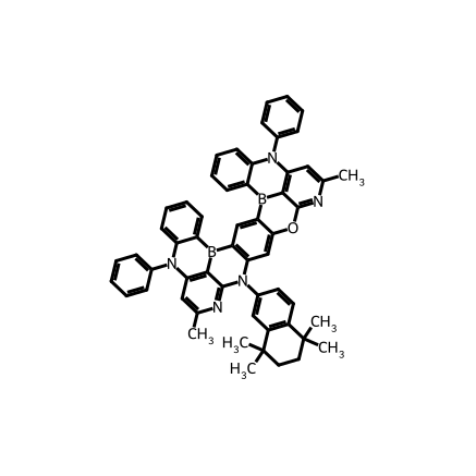 Cc1cc2c3c(n1)Oc1cc4c(cc1B3c1ccccc1N2c1ccccc1)B1c2ccccc2N(c2ccccc2)c2cc(C)nc(c21)N4c1ccc2c(c1)C(C)(C)CCC2(C)C